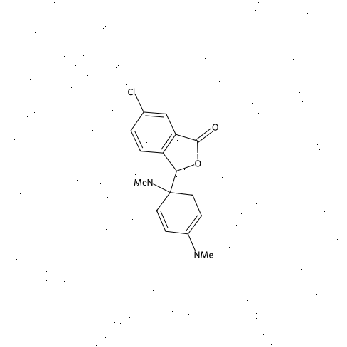 CNC1=CCC(NC)(C2OC(=O)c3cc(Cl)ccc32)C=C1